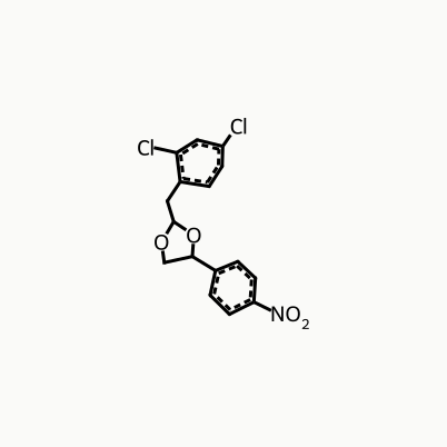 O=[N+]([O-])c1ccc(C2COC(Cc3ccc(Cl)cc3Cl)O2)cc1